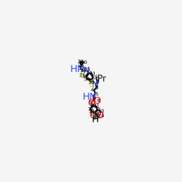 CC(C)CN(CCCNC(=O)O[C@H]1CC2CO[C@H]3OC1CC23)Sc1ccc2nc(NC3CC3)sc2c1